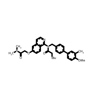 COc1ccc(-c2ccc(CN(C(=O)CC(C)(C)C)c3nccc4cc(OCC(=O)N(C)C)ccc34)cc2)cc1C